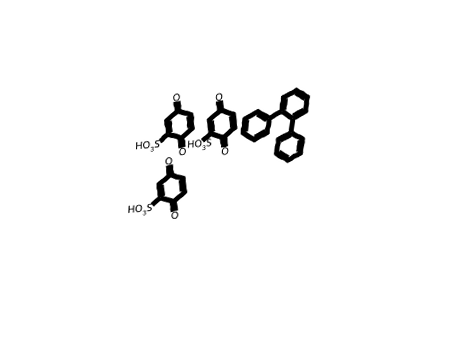 O=C1C=CC(=O)C(S(=O)(=O)O)=C1.O=C1C=CC(=O)C(S(=O)(=O)O)=C1.O=C1C=CC(=O)C(S(=O)(=O)O)=C1.c1ccc(-c2ccccc2-c2ccccc2)cc1